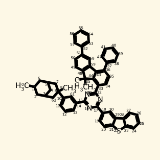 CC1CC2CC(C1)CC(C)(c1cccc(-c3nc(-c4ccc5sc6ccccc6c5c4)nc(-c4ccc(-c5ccccc5)c5c4C(C)(C)c4ccc(-c6ccccc6)cc4-5)n3)c1)C2